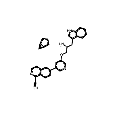 C#Cc1nccc2cc(-c3cncc(OC[C@@H](N)Cc4c[nH]c5ccccc45)c3)ccc12.c1cc2cc-2c1